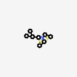 c1ccc(-c2ccc(-c3ccc(N(c4cccc5c4sc4ccccc45)c4cccc5c4sc4ccccc45)cc3)cc2-c2ccccc2)cc1